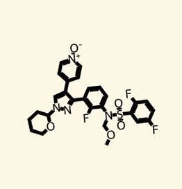 COCN(c1cccc(-c2nn(C3CCCCO3)cc2-c2cc[n+]([O-])cc2)c1F)S(=O)(=O)c1cc(F)ccc1F